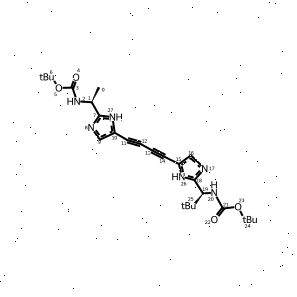 C[C@H](NC(=O)OC(C)(C)C)c1ncc(C#CC#Cc2cnc([C@@H](NC(=O)OC(C)(C)C)C(C)(C)C)[nH]2)[nH]1